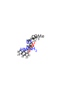 COC[C@]1(C)COc2c([S@](N)(=O)=NC(=O)Nc3c4c(cc5c3CCC5)CCC4)cnn2C1